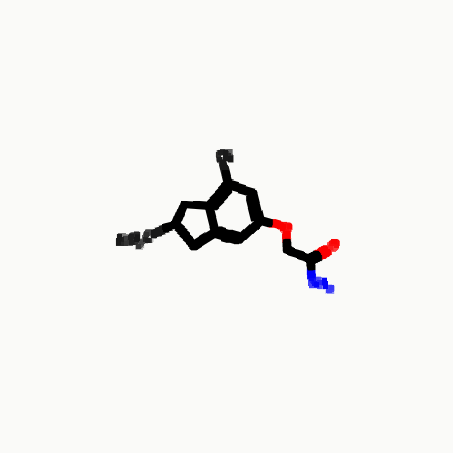 CCOC(=O)C1Cc2cc(OCC(N)=O)cc(C#N)c2C1